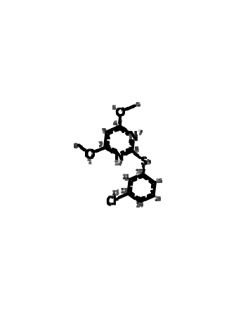 COc1cc(OC)nc(Sc2[c]c(Cl)ccc2)n1